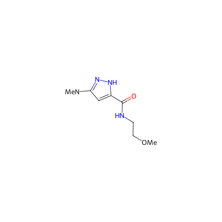 CNc1cc(C(=O)NCCOC)[nH]n1